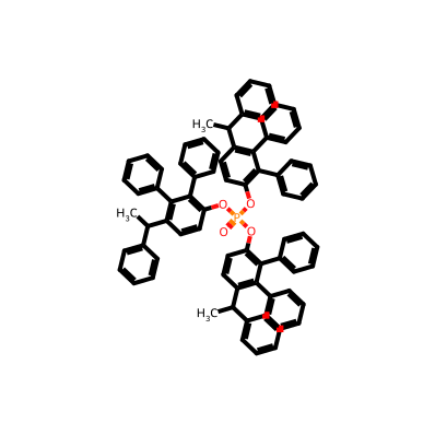 CC(c1ccccc1)c1ccc(OP(=O)(Oc2ccc(C(C)c3ccccc3)c(-c3ccccc3)c2-c2ccccc2)Oc2ccc(C(C)c3ccccc3)c(-c3ccccc3)c2-c2ccccc2)c(-c2ccccc2)c1-c1ccccc1